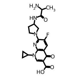 CC(N)C(=O)NC1CCN(c2nc3c(cc2F)c(=O)c(C(=O)O)cn3C2CC2)C1